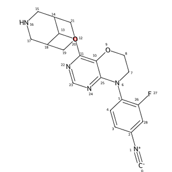 [C-]#[N+]c1ccc(N2CCOc3c(OC4C5CNCC4COC5)ncnc32)c(F)c1